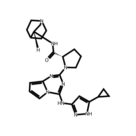 O=C(N[C@H]1CN2CCC1CC2)[C@@H]1CCCN1c1nc(Nc2cc(C3CC3)[nH]n2)n2cccc2n1